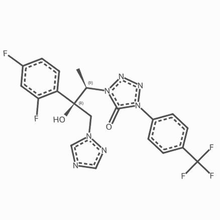 C[C@@H](n1nnn(-c2ccc(C(F)(F)F)cc2)c1=O)[C@](O)(Cn1cncn1)c1ccc(F)cc1F